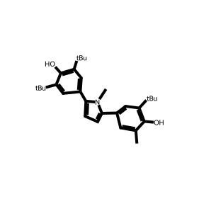 Cc1cc(-c2ccc(-c3cc(C(C)(C)C)c(O)c(C(C)(C)C)c3)n2C)cc(C(C)(C)C)c1O